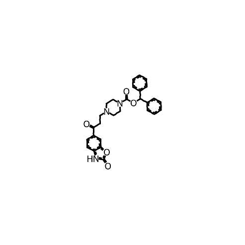 O=C(CCN1CCN(C(=O)OC(c2ccccc2)c2ccccc2)CC1)c1ccc2[nH]c(=O)oc2c1